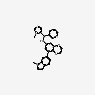 Cn1cncc1C(Nc1cc(-c2ccc3ccn(C)c3c2)c2nccnc2c1)c1cccnc1